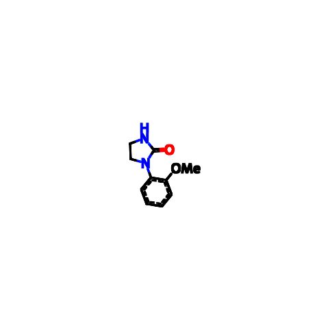 COc1ccccc1N1CCNC1=O